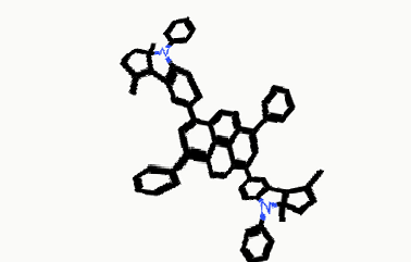 CC1CCC2(C)C1c1cc(-c3cc(-c4ccccc4)c4ccc5c(-c6ccc7c(c6)C6C(C)CCC6(C)N7c6ccccc6)cc(-c6ccccc6)c6ccc3c4c65)ccc1N2c1ccccc1